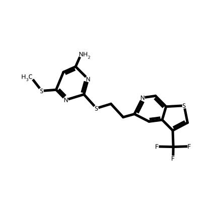 CSc1cc(N)nc(SCCc2cc3c(C(F)(F)F)csc3cn2)n1